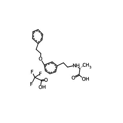 C[C@@H](NCCc1cccc(OCCc2ccccc2)c1)C(=O)O.O=C(O)C(F)(F)F